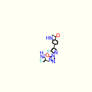 NC/C(=C\F)Cn1ncn(-c2ncc(-c3ccc4c(c3)NCC4=O)cc2F)c1=O